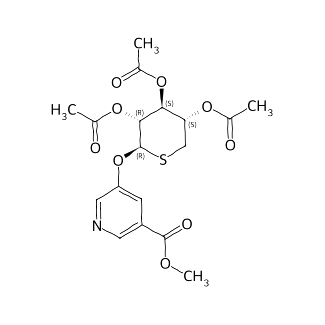 COC(=O)c1cncc(O[C@@H]2SC[C@@H](OC(C)=O)[C@H](OC(C)=O)[C@H]2OC(C)=O)c1